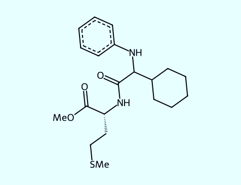 COC(=O)[C@@H](CCSC)NC(=O)C(Nc1ccccc1)C1CCCCC1